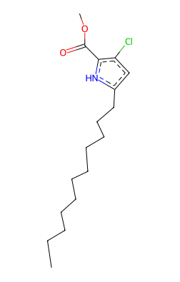 CCCCCCCCCCCc1cc(Cl)c(C(=O)OC)[nH]1